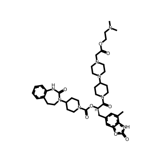 Cc1cc(C[C@@H](OC(=O)N2CCC(N3CCc4ccccc4NC3=O)CC2)C(=O)N2CCC(N3CCN(CC(=O)OCCN(C)C)CC3)CC2)cc2oc(=O)[nH]c12